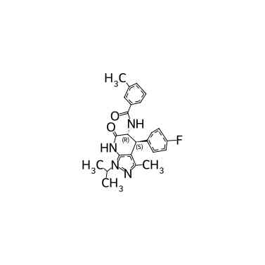 Cc1cccc(C(=O)N[C@H]2C(=O)Nc3c(c(C)nn3C(C)C)[C@@H]2c2ccc(F)cc2)c1